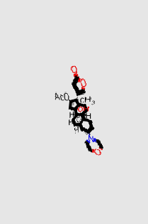 CC(=O)O[C@H]1C[C@]2(O)[C@@H]3CC[C@@H]4C[C@@H](N5CCOCC5)CC[C@]4(C)[C@H]3CC[C@]2(C)[C@H]1C1=CC(=O)OC1